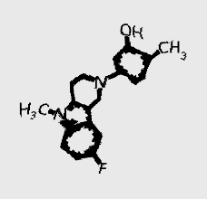 Cc1ccc(N2CCc3c(c4cc(F)ccc4n3C)C2)cc1O